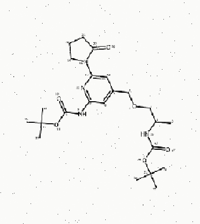 C[C@H](COCc1cc(NC(=O)OC(C)(C)C)nc(N2CCCC2=O)c1)NC(=O)OC(C)(C)C